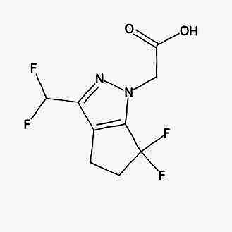 O=C(O)Cn1nc(C(F)F)c2c1C(F)(F)CC2